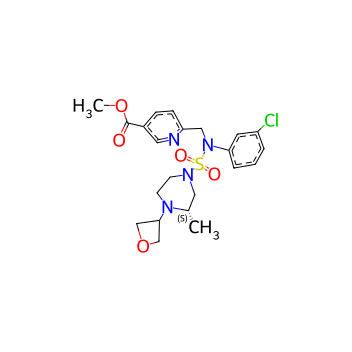 COC(=O)c1ccc(CN(c2cccc(Cl)c2)S(=O)(=O)N2CCN(C3COC3)[C@@H](C)C2)nc1